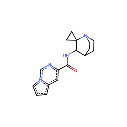 O=C(NC1C2CCN(CC2)C12CC2)c1cc2cccn2cn1